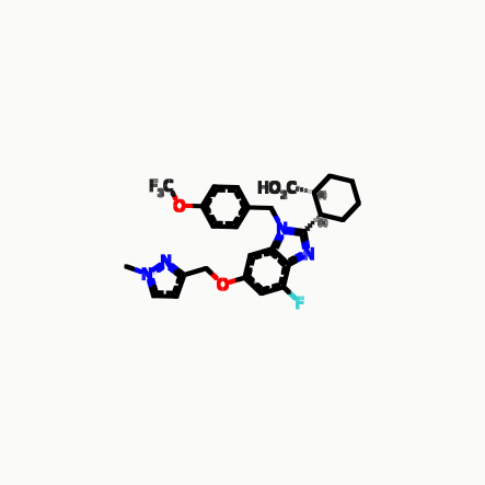 Cn1ccc(COc2cc(F)c3nc([C@H]4CCCC[C@H]4C(=O)O)n(Cc4ccc(OC(F)(F)F)cc4)c3c2)n1